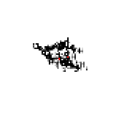 Cc1ncsc1-c1ccc([C@H](C)NC(=O)[C@@H]2C[C@@H](O)CN2C(=O)[C@@H](NC(=O)CCCCCCC(=O)N2CCN(CC3(C)CCC(c4ccc(Cl)cc4)=C(CN4CCN(c5ccc(C(=O)NS(=O)(=O)c6ccc(N[C@H](CCN(CCO)C7CC7)CSc7ccccc7)c([N+](=O)[O-])c6)cc5)CC4)C3)CC2)C(C)(C)C)cc1